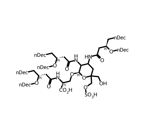 CCCCCCCCCCC[C@H](CC(=O)NC1CC(CO)(COS(=O)(=O)O)O[C@@H](OC[C@H](NC(=O)C[C@@H](CCCCCCCCCCC)OCCCCCCCCCC)C(=O)O)C1NC(=O)C[C@@H](CCCCCCCCCCC)OCCCCCCCCCC)OCCCCCCCCCC